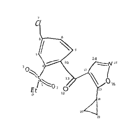 CCS(=O)(=O)c1cc(Cl)ccc1C(=O)c1cnoc1C1CC1